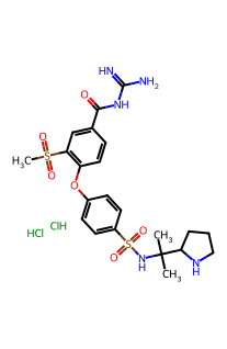 CC(C)(NS(=O)(=O)c1ccc(Oc2ccc(C(=O)NC(=N)N)cc2S(C)(=O)=O)cc1)C1CCCN1.Cl.Cl